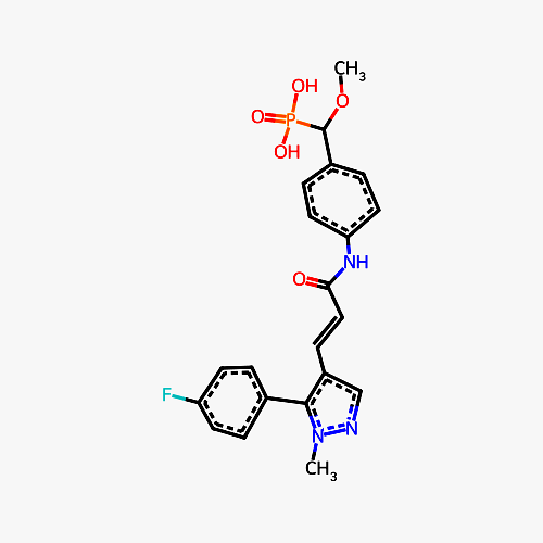 COC(c1ccc(NC(=O)/C=C/c2cnn(C)c2-c2ccc(F)cc2)cc1)P(=O)(O)O